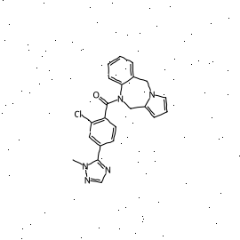 Cn1ncnc1-c1ccc(C(=O)N2Cc3cccn3Cc3ccccc32)c(Cl)c1